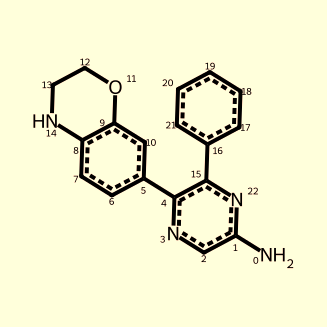 Nc1cnc(-c2ccc3c(c2)OCCN3)c(-c2ccccc2)n1